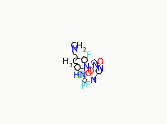 C=N/C=C\C=C(/C)c1cc(F)cc(N(C(=O)[C@@H]2CCC(=O)N2c2cc(C#N)ccn2)[C@H](C(=O)NC2CC(F)(F)C2)c2ccccc2Cl)c1